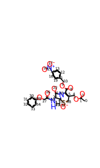 CC(=O)OCC1=C(C(=O)OCc2ccc([N+](=O)[O-])cc2)N2C(=O)C(NC(=O)COc3ccccc3)[C@H]2[S+]([O-])C1